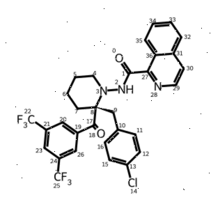 O=C(NN1CCCC[C@@]1(Cc1ccc(Cl)cc1)C(=O)c1cc(C(F)(F)F)cc(C(F)(F)F)c1)c1nccc2ccccc12